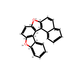 c1ccc2c(c1)ccc1oc3ccc4oc5ccccc5c4c3c12